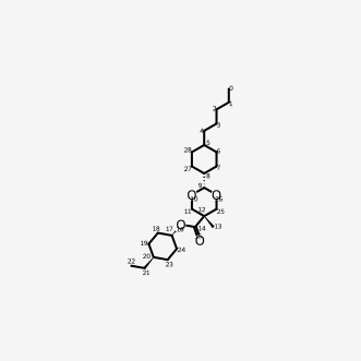 CCCCCC1CCC([C@H]2OC[C@@](C)(C(=O)O[C@H]3CC[C@H](CC)CC3)CO2)CC1